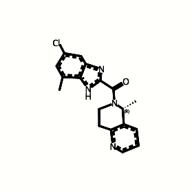 Cc1cc(Cl)cc2nc(C(=O)N3CCc4ncccc4[C@H]3C)[nH]c12